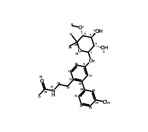 CO[C@@H]1[C@@H](O)[C@H](O)C(Oc2ccc(CCNC(C)=O)c(-c3cccc(Cl)c3)c2)OC1(C)C